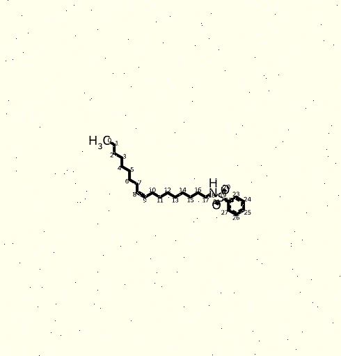 CCCCCCCC/C=C\CCCCCCCCNS(=O)(=O)c1ccccc1